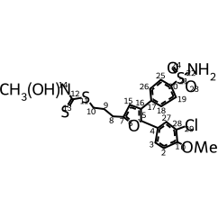 COc1ccc(-c2oc(CCCSC(=S)N(C)O)cc2-c2ccc(S(N)(=O)=O)cc2)cc1Cl